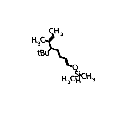 C/C=C(\C)C(CC/C=C/O[SiH](C)C)C(C)(C)C